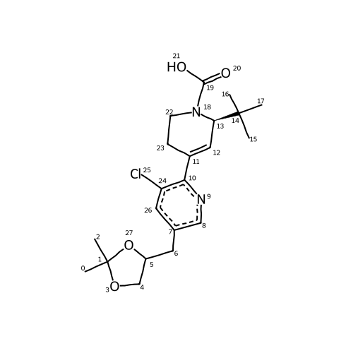 CC1(C)OCC(Cc2cnc(C3=C[C@H](C(C)(C)C)N(C(=O)O)CC3)c(Cl)c2)O1